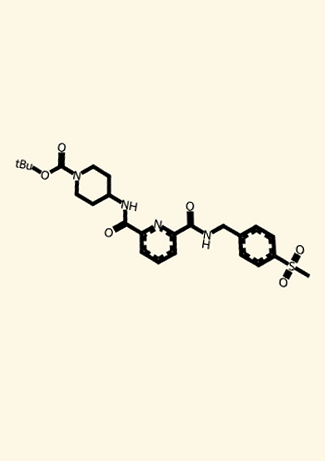 CC(C)(C)OC(=O)N1CCC(NC(=O)c2cccc(C(=O)NCc3ccc(S(C)(=O)=O)cc3)n2)CC1